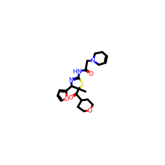 CC1(C(=O)C2CCOCC2)SC(NC(=O)CN2CC=CCC2)=NC1c1ccco1